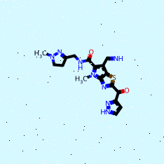 CN1CCC(CNC(=O)c2c(C=N)c3sc(C(=O)c4cc[nH]n4)nc3n2C)=N1